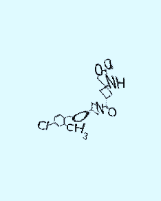 Cc1cc(Cl)ccc1COC1CN(C(=O)[C@H]2C[C@]3(COC(=O)N3)C2)C1